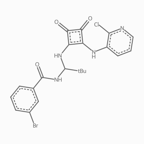 CC(C)(C)C(NC(=O)c1cccc(Br)c1)Nc1c(Nc2cccnc2Cl)c(=O)c1=O